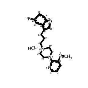 COc1cccnc1N1CCN(CCCc2coc3ccc(F)cc23)CC1.Cl